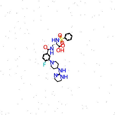 O=C(NC[C@H](NS(=O)(=O)c1ccccc1)C(=O)O)c1ccc(F)c(N2CCC(NC3=NCCCN3)CC2)c1